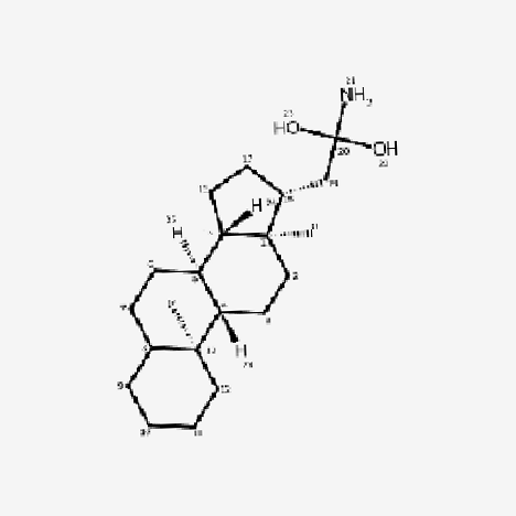 C[C@]12CC[C@H]3[C@@H](CCC4CCCC[C@@]43C)[C@@H]1CC[C@@H]2CC(N)(O)O